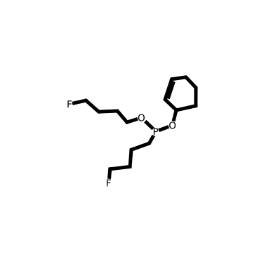 FCCCCOP(CCCCF)OC1C=CCCC1